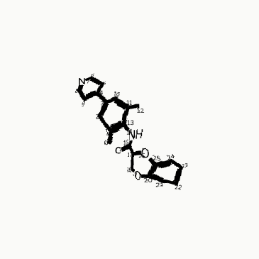 Cc1cc(-c2ccncc2)cc(C)c1NC(=O)C1COc2ccccc2O1